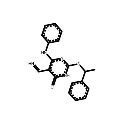 CC(Sc1nc(Nc2ccccc2)c(C=N)c(=O)[nH]1)c1ccccc1